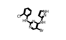 Clc1ccccc1Nc1ncc(Br)c(Nc2cc[nH]n2)n1